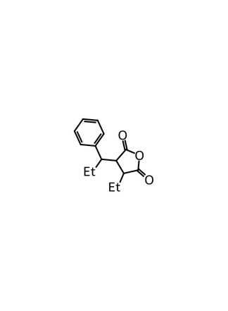 CCC1C(=O)OC(=O)C1C(CC)c1ccccc1